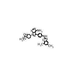 CC[C@]1(C(=O)O)CC[C@H](n2nc(-c3ccc(Nc4nc5cc(C)cc(C)c5o4)cc3)c3c(N)ncnc32)CC1